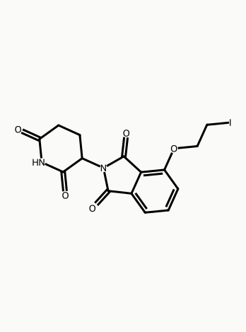 O=C1CCC(N2C(=O)c3cccc(OCCI)c3C2=O)C(=O)N1